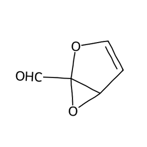 O=CC12OC=CC1O2